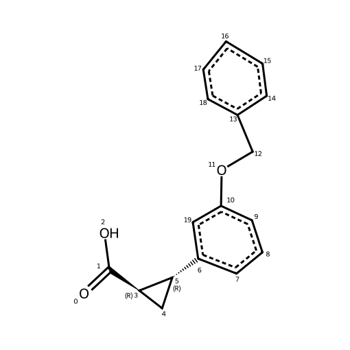 O=C(O)[C@@H]1C[C@H]1c1cccc(OCc2ccccc2)c1